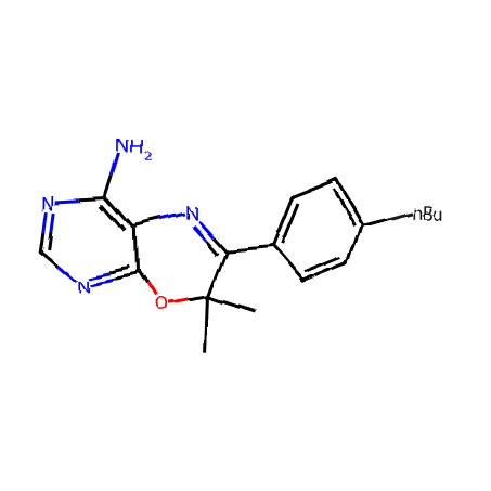 CCCCc1ccc(C2=Nc3c(N)ncnc3OC2(C)C)cc1